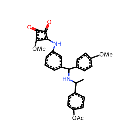 COc1ccc(C(NC(C)c2ccc(OC(C)=O)cc2)c2cccc(Nc3c(OC)c(=O)c3=O)c2)cc1